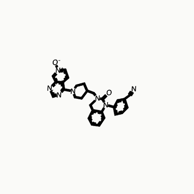 N#Cc1cccc(N2C(=O)N(CC3CCN(c4ncnc5c[n+]([O-])ccc45)CC3)Cc3ccccc32)c1